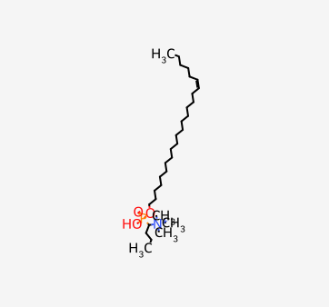 CCCCC/C=C\CCCCCCCCCCCCCCCCCOP(=O)(O)C(CCC)[N+](C)(C)C